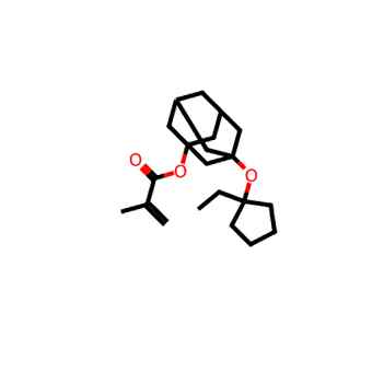 C=C(C)C(=O)OC12CC3CC(C1)CC(OC1(CC)CCCC1)(C3)C2